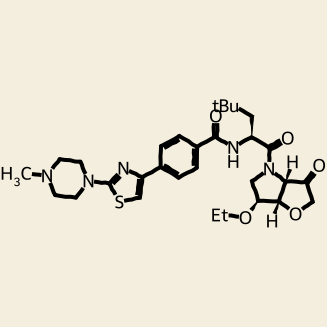 CCO[C@H]1CN(C(=O)[C@H](CC(C)(C)C)NC(=O)c2ccc(-c3csc(N4CCN(C)CC4)n3)cc2)[C@@H]2C(=O)CO[C@H]12